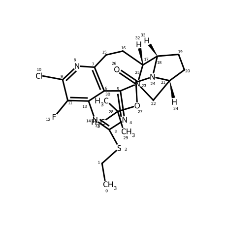 CCSc1nc2c3c(nc(Cl)c(F)c3n1)CC[C@@H]1[C@@H]3CC[C@H](CN21)N3C(=O)OC(C)(C)C